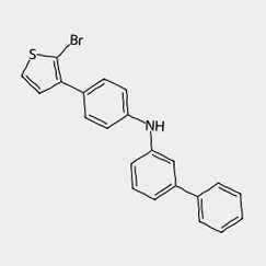 Brc1sccc1-c1ccc(Nc2cccc(-c3ccccc3)c2)cc1